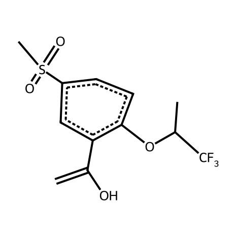 C=C(O)c1cc(S(C)(=O)=O)ccc1OC(C)C(F)(F)F